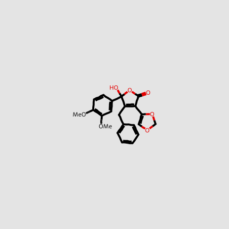 COc1ccc(C2(O)OC(=O)C(C3=COCO3)=C2Cc2ccccc2)cc1OC